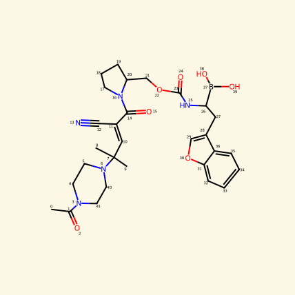 CC(=O)N1CCN(C(C)(C)C=C(C#N)C(=O)N2CCCC2COC(=O)NC(Cc2coc3ccccc23)B(O)O)CC1